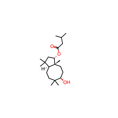 CC(C)CC(=O)O[C@H]1CC(C)(C)[C@@H]2CCC(C)(C)[C@H](O)CC[C@@]12C